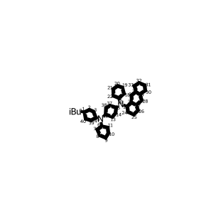 CCC(C)c1ccc(N(c2ccccc2)c2ccc(N(c3ccccc3)c3cccc4cc5ccccc5cc34)cc2)cc1